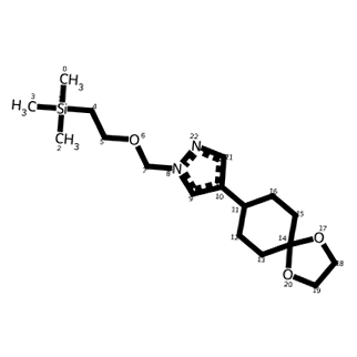 C[Si](C)(C)CCOCn1cc(C2CCC3(CC2)OCCO3)cn1